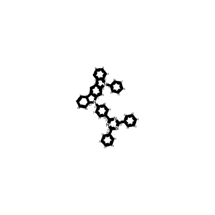 C1=CC2c3cc4c5ccccc5n(-c5ccccc5)c4cc3N(c3ccc(-c4nc(-c5ccccc5)nc(-c5ccccc5)n4)cc3)C2C=C1